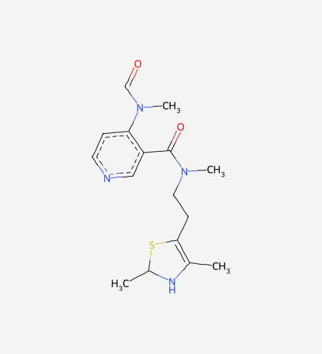 CC1=C(CCN(C)C(=O)c2cnccc2N(C)C=O)SC(C)N1